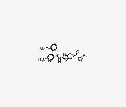 COc1ccccc1-c1cc(C)ncc1C(=O)Nc1nc2c(s1)CN(C(=O)[C@H]1CCN1C(C)=O)C2